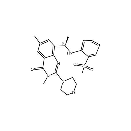 Cc1cc([C@@H](C)Nc2ccccc2S(C)(=O)=O)c2nc(N3CCOCC3)n(C)c(=O)c2c1